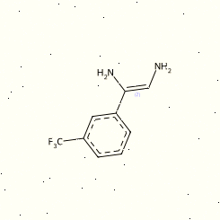 N/C=C(\N)c1cccc(C(F)(F)F)c1